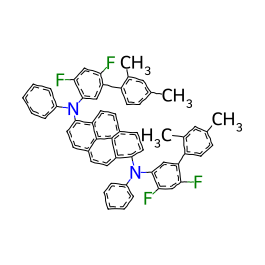 Cc1ccc(-c2cc(N(c3ccccc3)c3ccc4ccc5c(N(c6ccccc6)c6cc(-c7ccc(C)cc7C)c(F)cc6F)ccc6ccc3c4c65)c(F)cc2F)c(C)c1